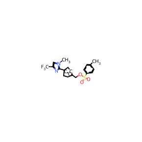 Cc1ccc(S(=O)(=O)OCC23CCC(c4nc(C(F)(F)F)cn4C)(CC2)CC3)cc1